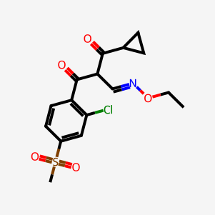 CCON=CC(C(=O)c1ccc(S(C)(=O)=O)cc1Cl)C(=O)C1CC1